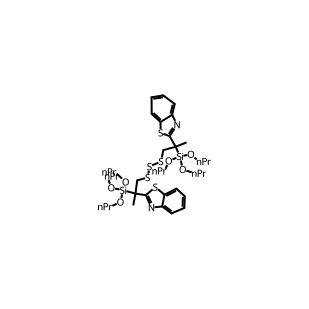 CCCO[Si](OCCC)(OCCC)C(C)(CSSSCC(C)(c1nc2ccccc2s1)[Si](OCCC)(OCCC)OCCC)c1nc2ccccc2s1